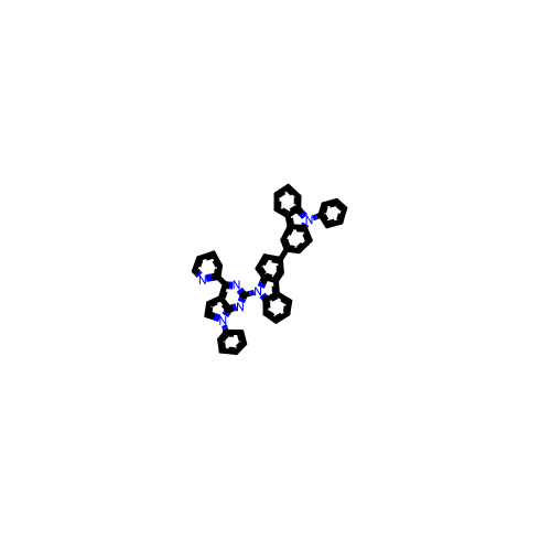 c1ccc(-n2ccc3c(-c4ccccn4)nc(-n4c5ccccc5c5cc(-c6ccc7c(c6)c6ccccc6n7-c6ccccc6)ccc54)nc32)cc1